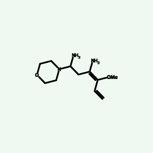 C=C/C(OC)=C(/N)CC(N)N1CCOCC1